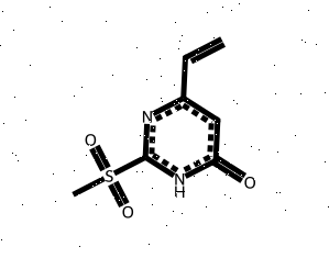 C=Cc1cc(=O)[nH]c(S(C)(=O)=O)n1